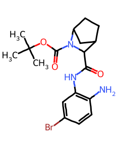 CC(C)(C)OC(=O)N1C2CCC(C2)C1C(=O)Nc1cc(Br)ccc1N